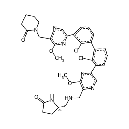 COc1nc(-c2cccc(-c3cccc(-c4cnc(CN5CCCCC5=O)c(OC)n4)c3Cl)c2Cl)cnc1CNC[C@@H]1CCC(=O)N1